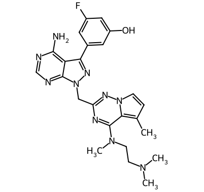 Cc1ccn2nc(Cn3nc(-c4cc(O)cc(F)c4)c4c(N)ncnc43)nc(N(C)CCN(C)C)c12